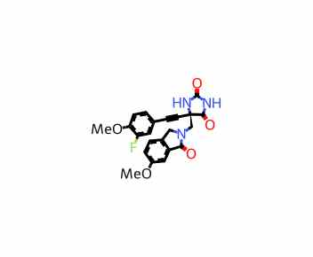 COc1ccc2c(c1)C(=O)N(C[C@@]1(C#Cc3ccc(OC)c(F)c3)NC(=O)NC1=O)C2